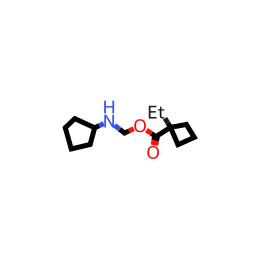 CCC1(C(=O)OCNC2CCCC2)CCC1